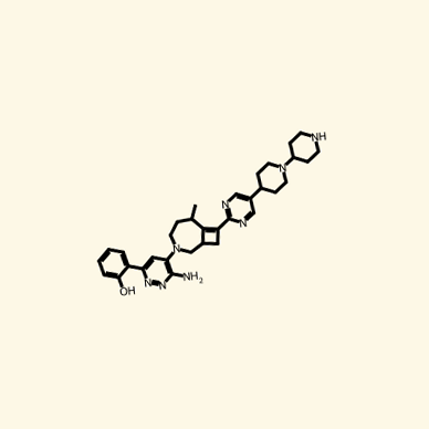 CC1CCN(c2cc(-c3ccccc3O)nnc2N)CC2CC(c3ncc(C4CCN(C5CCNCC5)CC4)cn3)=C12